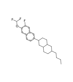 CCCCC1CCC2CC(c3ccc4cc(OC(F)F)c(F)cc4c3)CCC2C1